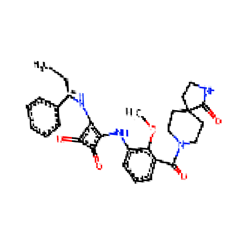 CC[C@@H](Nc1c(Nc2cccc(C(=O)N3CCC4(CCNC4=O)CC3)c2OC)c(=O)c1=O)c1ccccc1